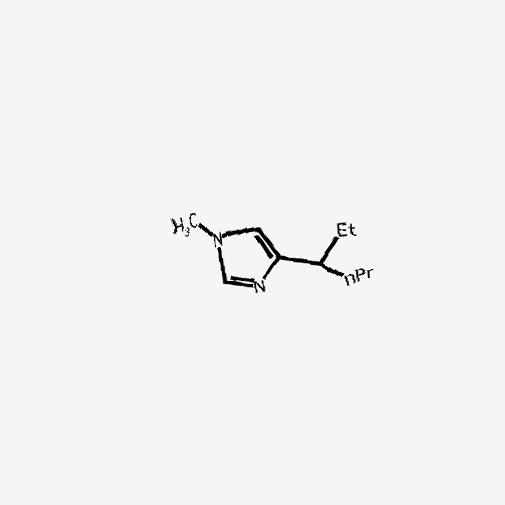 CCCC(CC)c1cn(C)cn1